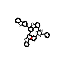 c1ccc(-c2nc(-c3ccccc3)nc(-c3cccc4oc5c(-c6ccc7c(c6)sc6ccccc67)cc(-c6ccc7c(c6)sc6ccccc67)cc5c34)n2)cc1